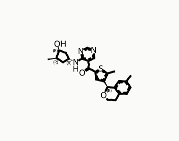 Cc1ccc2c(c1)[C@H](c1cc(C(=O)c3cncnc3N[C@@H]3C[C@@H](C)[C@H](O)C3)sc1C)OCC2